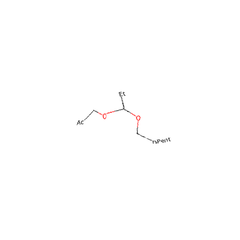 CCCCCCOC(CC)OCC(C)=O